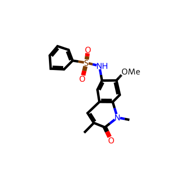 COc1cc2c(cc1NS(=O)(=O)c1ccccc1)cc(C)c(=O)n2C